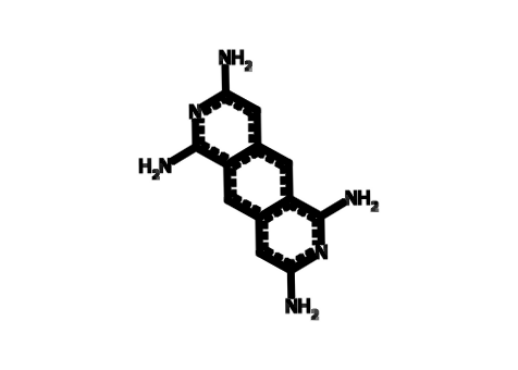 Nc1cc2cc3c(N)nc(N)cc3cc2c(N)n1